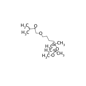 C=C(C)C(=O)COCCCC[Si](C)(C)O[Si](C)(C)OC